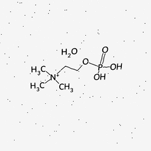 C[N+](C)(C)CCOP(=O)(O)O.O